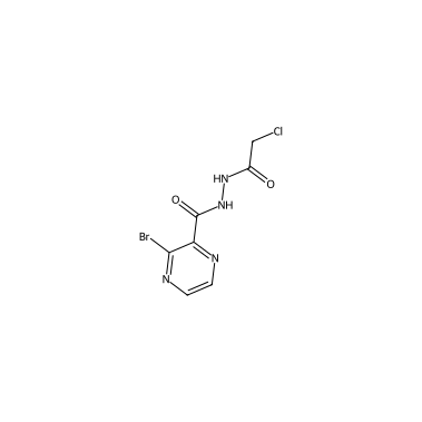 O=C(CCl)NNC(=O)c1nccnc1Br